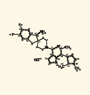 Cc1nc(N2CCC3(CC2)Cc2cc(F)c(F)cc2[C@H]3N)c2ccnn2c1-c1cnn(C)c1C.Cl